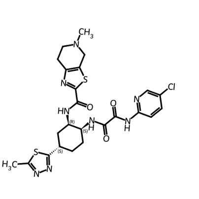 Cc1nnc([C@H]2CC[C@H](NC(=O)C(=O)Nc3ccc(Cl)cn3)[C@H](NC(=O)c3nc4c(s3)CN(C)CC4)C2)s1